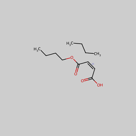 CCCC.CCCCOC(=O)/C=C\C(=O)O